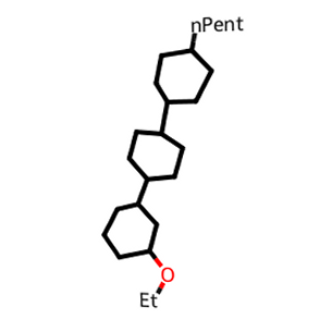 CCCCCC1CCC(C2CCC(C3CCCC(OCC)C3)CC2)CC1